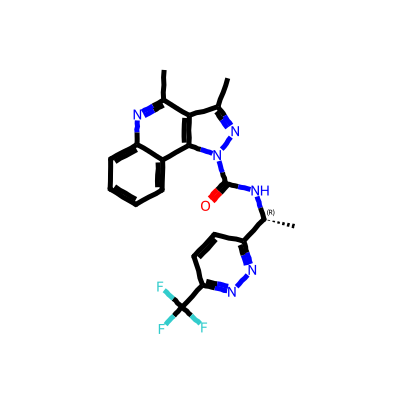 Cc1nc2ccccc2c2c1c(C)nn2C(=O)N[C@H](C)c1ccc(C(F)(F)F)nn1